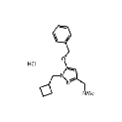 CNCc1cc(OCc2ccccc2)n(CC2CCC2)n1.Cl